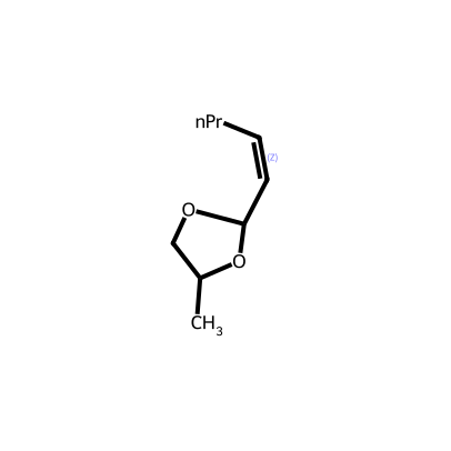 CCC/C=C\C1OCC(C)O1